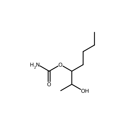 CCCCC(OC(N)=O)C(C)O